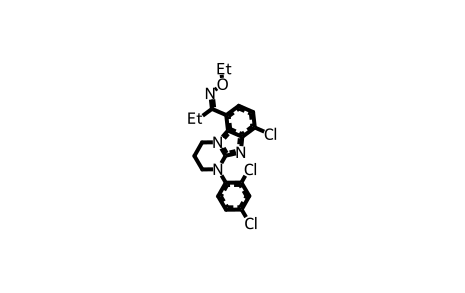 CCO/N=C(/CC)c1ccc(Cl)c2nc3n(c12)CCCN3c1ccc(Cl)cc1Cl